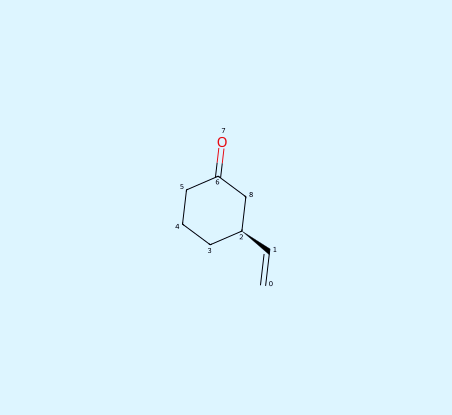 C=C[C@H]1CCCC(=O)C1